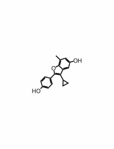 Cc1cc(O)cc2c(C3CC3)c(-c3ccc(O)cc3)oc12